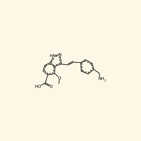 COc1c(C(=O)O)ccc2[nH]nc(C=Cc3ccc(CN)cc3)c12